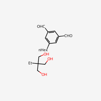 CCC(CO)(CO)CO.CCCCCCc1cc(C=O)cc(C=O)c1